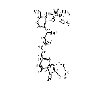 CN(C)S(=O)(=O)Nc1cc(C(O)CNCCOc2ccc3[nH]c4c(c3c2)CCCCC4)ccc1O